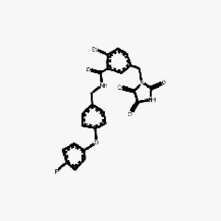 CCc1ccc(CN2C(=O)NC(=O)C2=O)cc1C(=O)NCc1ccc(Oc2ccc(F)cc2)cc1